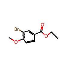 CCOC(=O)c1ccc(OC)c(Br)c1